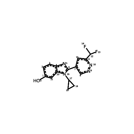 Oc1ccc2nc(-c3cnnc(C(F)F)c3)n(C3CC3)c2c1